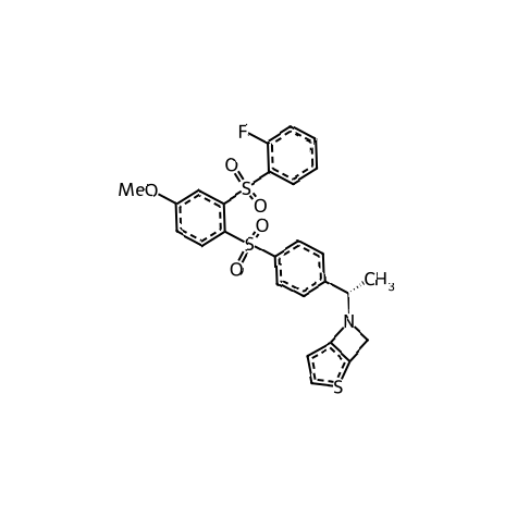 COc1ccc(S(=O)(=O)c2ccc([C@H](C)N3Cc4sccc43)cc2)c(S(=O)(=O)c2ccccc2F)c1